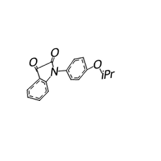 CC(C)Oc1ccc(N2C(=O)C(=O)c3ccccc32)cc1